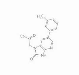 CCC(=O)Cn1c(=O)[nH]c2ncc(-c3cccc(C)c3)cc21